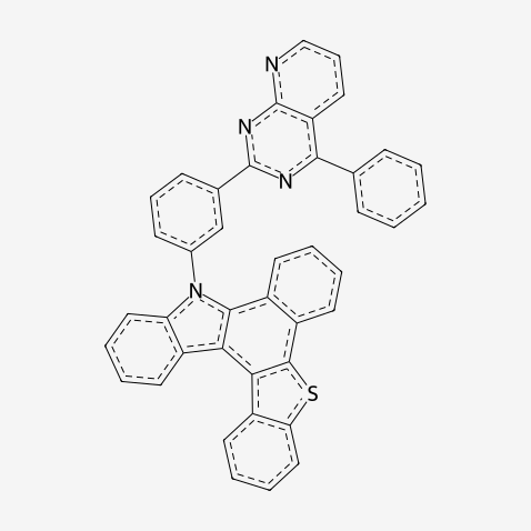 c1ccc(-c2nc(-c3cccc(-n4c5ccccc5c5c6c7ccccc7sc6c6ccccc6c54)c3)nc3ncccc23)cc1